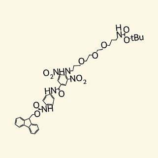 CC(C)(C)OC(=O)NCCCOCCOCCOCCCNc1c([N+](=O)[O-])cc(C(=O)Nc2ccc(NC(=O)OCC3c4ccccc4-c4ccccc43)cc2)cc1[N+](=O)[O-]